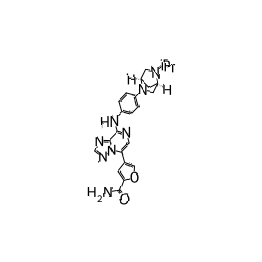 CC(C)N1C[C@H]2C[C@@H]1CN2c1ccc(Nc2ncc(-c3coc(C(N)=O)c3)n3ncnc23)cc1